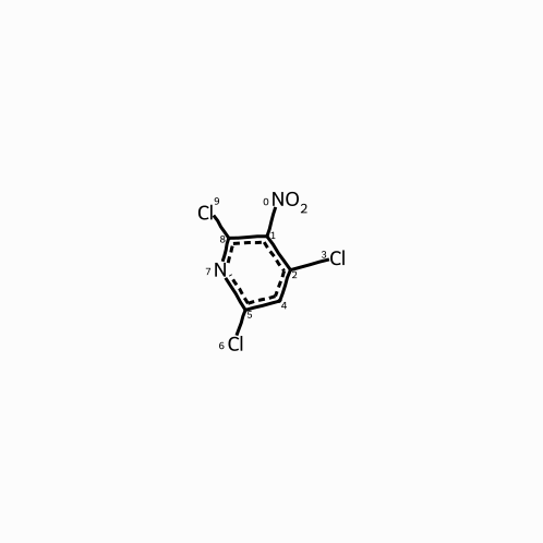 O=[N+]([O-])c1c(Cl)cc(Cl)nc1Cl